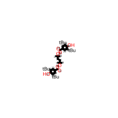 CC(C)(CCC(C)(C)OOC(=O)c1cc(C(C)(C)C)c(O)c(C(C)(C)C)c1)OOC(=O)c1cc(C(C)(C)C)c(O)c(C(C)(C)C)c1